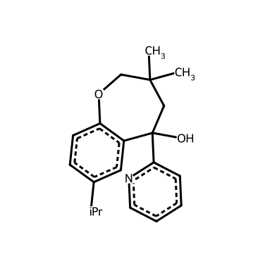 CC(C)c1ccc2c(c1)C(O)(c1ccccn1)CC(C)(C)CO2